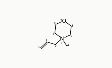 C=CC[N+]1(C)CCOCC1